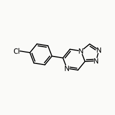 Clc1ccc(-c2cn3cnnc3cn2)cc1